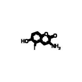 Nc1cc2c(I)c(O)ccc2oc1=O